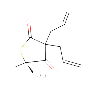 C=CCC1(CC=C)C(=O)S[C@](C)(CCCCCCCC)C1=O